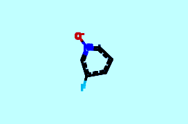 [O-][n+]1[c]ccc(F)c1